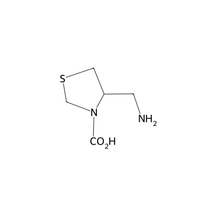 NCC1CSCN1C(=O)O